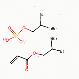 C=CC(=O)OCC(CC)CCCC.CCCCC(CC)COP(=O)(O)O